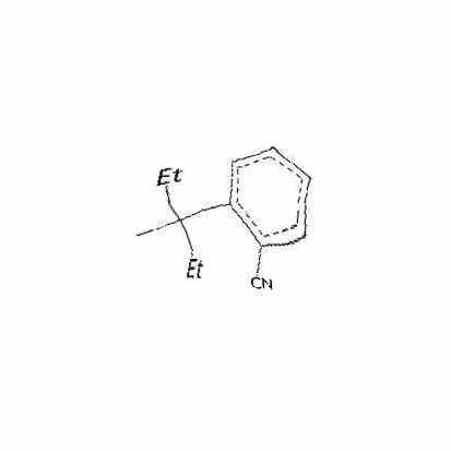 CCC(C)(CC)c1ccccc1C#N